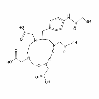 O=C(O)CN1CCN(CC(=O)O)CCN(CC(=O)O)C(Cc2ccc(NC(=O)CS)cc2)CN(CC(=O)O)CC1